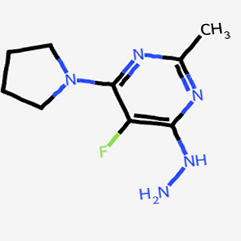 Cc1nc(NN)c(F)c(N2CCCC2)n1